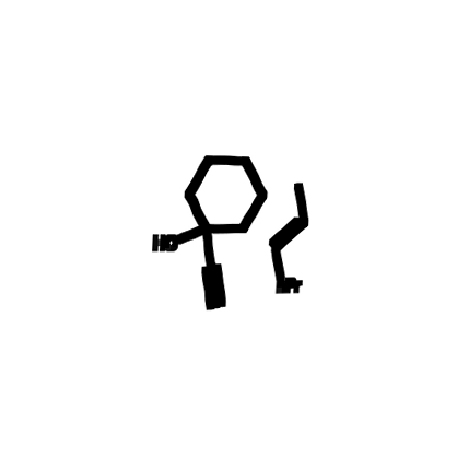 C#CC1(O)CCCCC1.CC=CCCC